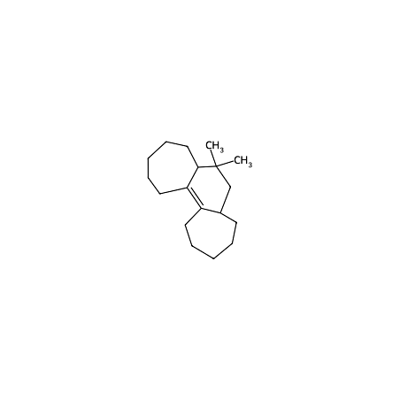 CC1(C)CC2CCCCCC2=C2CCCCCC21